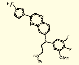 COc1cc(N(CCNC(C)C)c2ccc3ncc(-c4ccn(C)c4)nc3c2)cc(F)c1F